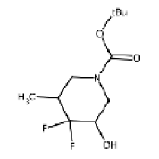 CC1CN(C(=O)OC(C)(C)C)CC(O)C1(F)F